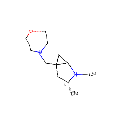 CC(C)(C)[C@@H]1CC2(CN3CCOCC3)CC2N1C(C)(C)C